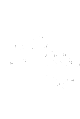 CC(C1CC1)N1CCN(c2cc(NC(=O)Cn3cc(-c4cc(C(N)=O)c(O)c(F)c4F)c4c(=O)n(C)cnc43)c(Cl)cn2)[C@@H](C)C1